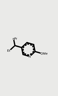 CCCC(CC)c1ccc(OC)nc1